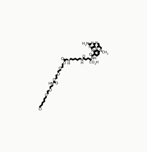 CN(Cc1cnc2nc(N)nc(N)c2n1)c1ccc(C(=O)NC(CCC(=O)NCCCCCNCC(=O)OCCOCCOCCOC(=O)NCCOCCOCCCCCCCl)C(=O)O)cc1